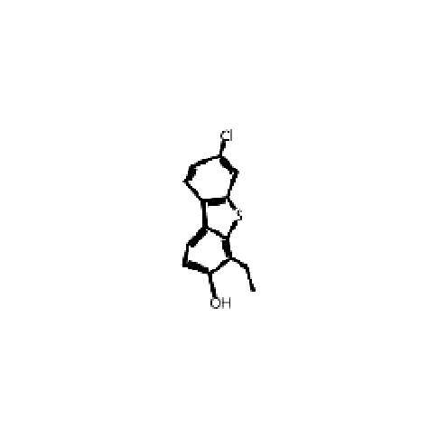 CCc1c(O)ccc2c1sc1cc(Cl)ccc12